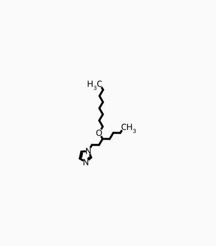 CCCCCCCCOC(CCCC)CCn1ccnc1